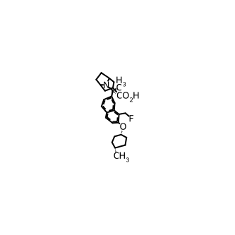 C[C@@H](c1ccc2ccc(O[C@H]3CC[C@@H](C)CC3)c(CF)c2c1)N1C2CCC1CC(C(=O)O)C2